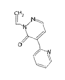 C=Cn1nccc(-c2ccccn2)c1=O